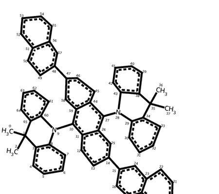 CC1(C)c2ccccc2N(c2c3ccc(-c4ccc5ccccc5c4)cc3c(N3c4ccccc4C(C)(C)c4ccccc43)c3ccc(-c4ccc5ccccc5c4)cc23)c2ccccc21